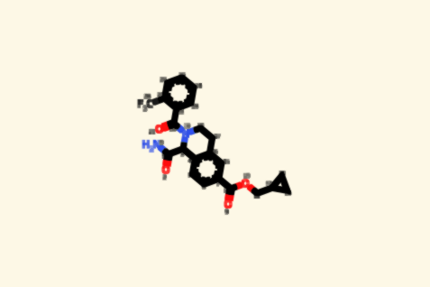 NC(=O)C1c2ccc(C(=O)OCC3CC3)cc2CCN1C(=O)c1ccccc1C(F)(F)F